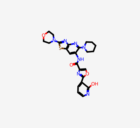 O=C(Nc1cc2sc(N3CCOCC3)nc2nc1N1CCCCC1)c1coc(-c2cccnc2O)n1